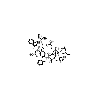 CCCC[C@H](NC(C)=O)C(=O)N[C@@H](CCC(=O)O)C(=O)N[C@@H](Cc1c[nH]cn1)C(=O)N[C@H](Cc1ccccc1)C(=O)N[C@@H](CC(F)CNC(=N)N)C(=O)N[C@@H](Cc1c[nH]c2ccccc12)C(=O)O